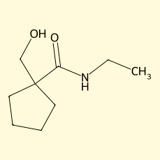 CCNC(=O)C1(CO)CCCC1